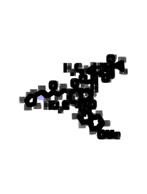 C=C[C@@H]1C[C@]1(NC(=O)[C@@H]1C[C@@H](Oc2nccc3cc(OC)ccc23)CN1C(=O)[C@H](CCC(=O)/C=C/C1CCCC1)N(C(=O)O)C(C)(C)C)C(=O)NS(=O)(=O)C1CC1